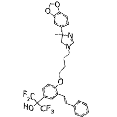 CC1(c2ccc3c(c2)OCO3)CN(CCCCOc2ccc(C(O)(C(F)(F)F)C(F)(F)F)cc2C=Cc2ccccc2)C=N1